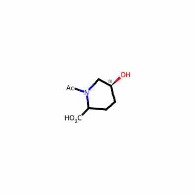 CC(=O)N1C[C@@H](O)CCC1C(=O)O